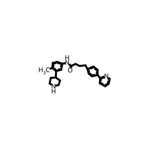 Cc1ccc(NC(=O)CCCc2ccc(-c3ccccn3)cc2)cc1C1CCNCC1